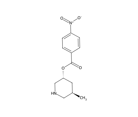 C[C@H]1CNC[C@H](OC(=O)c2ccc([N+](=O)[O-])cc2)C1